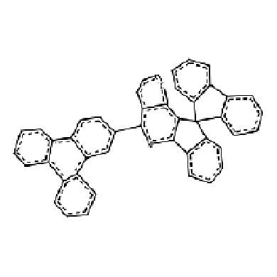 c1ccc2c(c1)-c1ccccc1C21c2ccccc2-c2nc(-c3ccc4c5ccccc5c5ccccc5c4c3)c3ccccc3c21